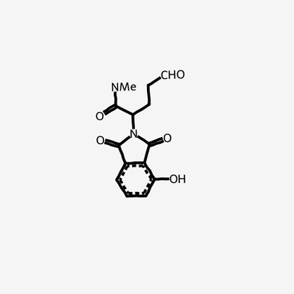 CNC(=O)C(CCC=O)N1C(=O)c2cccc(O)c2C1=O